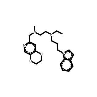 CCN(CCCn1ccc2ccccc21)CCN(C)Cc1cc2c(cn1)OCCO2